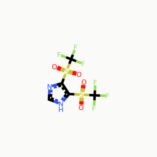 O=S(=O)(c1nc[nH]c1S(=O)(=O)C(F)(F)F)C(F)(F)F